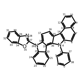 c1ccc(-n2c3ccc4ccccc4c3c3ccc4c(c5ccccc5n4-c4nc5ccccc5o4)c32)cc1